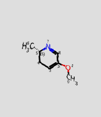 COC1=CC[C@H](C)N=C1